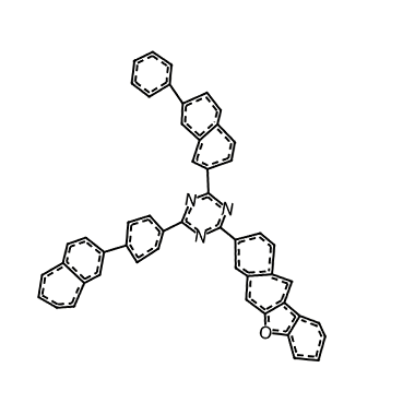 c1ccc(-c2ccc3ccc(-c4nc(-c5ccc(-c6ccc7ccccc7c6)cc5)nc(-c5ccc6cc7c(cc6c5)oc5ccccc57)n4)cc3c2)cc1